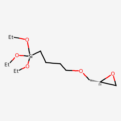 CCO[Si](CCCCOC[C@H]1CO1)(OCC)OCC